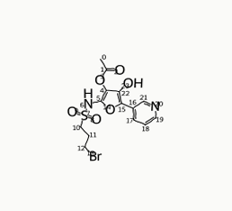 CC(=O)Oc1c(NS(=O)(=O)CCCBr)oc(-c2cccnc2)c1O